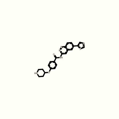 O=C(Nc1cc2cc(-c3cncs3)ccc2nn1)c1ccc(OC2CCNCC2)cc1